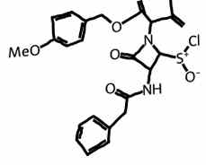 C=C(C)C(C(=O)OCc1ccc(OC)cc1)N1C(=O)C(NC(=O)Cc2ccccc2)C1[S+]([O-])Cl